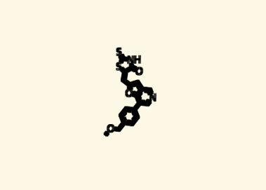 COCc1ccc(-c2cncc3cc(/C=C4/SC(=S)NC4=O)oc23)cc1